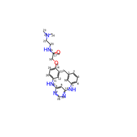 Cc1cccc(Nc2cc(Nc3ccc(OCC(=O)NCCN(C)C)cc3)ncn2)c1